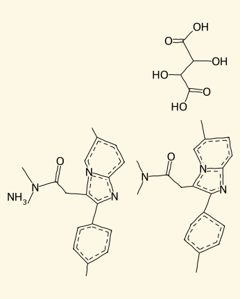 Cc1ccc(-c2nc3ccc(C)cn3c2CC(=O)N(C)C)cc1.Cc1ccc(-c2nc3ccc(C)cn3c2CC(=O)N(C)C)cc1.N.O=C(O)C(O)C(O)C(=O)O